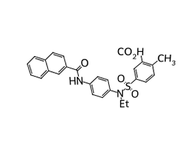 CCN(c1ccc(NC(=O)c2ccc3ccccc3c2)cc1)S(=O)(=O)c1ccc(C)c(C(=O)O)c1